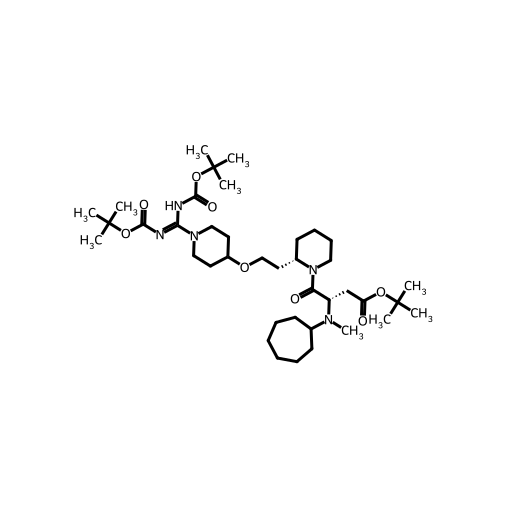 CN(C1CCCCCC1)[C@@H](CC(=O)OC(C)(C)C)C(=O)N1CCCC[C@H]1CCOC1CCN(C(=NC(=O)OC(C)(C)C)NC(=O)OC(C)(C)C)CC1